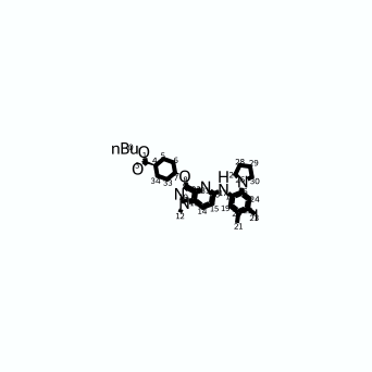 CCCCOC(=O)[C@H]1CC[C@H](Oc2nn(C)c3ccc(Nc4cc(C)c(I)cc4N4CCCC4)nc23)CC1